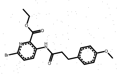 CCOC(=O)c1nc(Br)ccc1NC(=O)CCc1ccc(OC)cc1